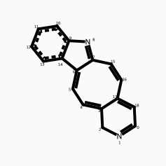 C1=NC/C2=C/C=C3\C(=Nc4ccccc43)/C=C\C2=C1